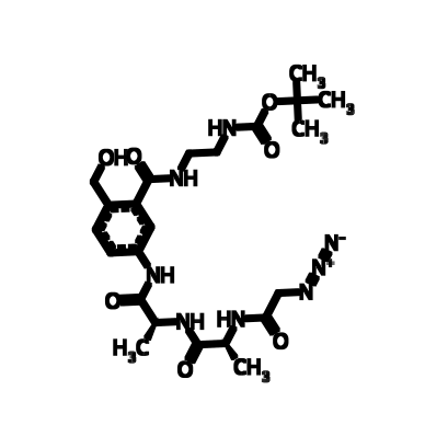 C[C@H](NC(=O)CN=[N+]=[N-])C(=O)N[C@@H](C)C(=O)Nc1ccc(CO)c(C(=O)NCCNC(=O)OC(C)(C)C)c1